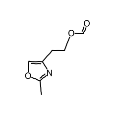 Cc1nc(CCOC=O)co1